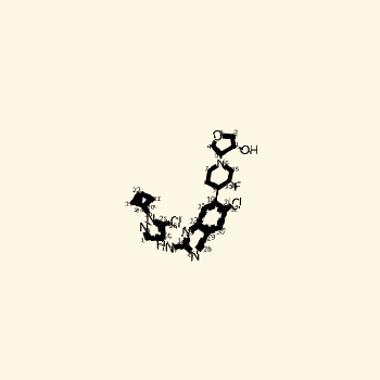 O[C@H]1COC[C@H]1N1CC[C@H](c2cc3nc(Nc4cnn(C56CC(C5)C6)c4Cl)ncc3cc2Cl)[C@@H](F)C1